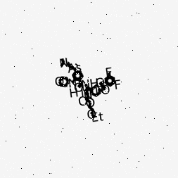 CCOCCOC(=O)n1nc(NC(=O)c2ccc([As](C)CCN(C)C)cc2NC2CCOCC2)c2c1CCN(S(=O)(=O)c1cc(F)cc(F)c1)C2